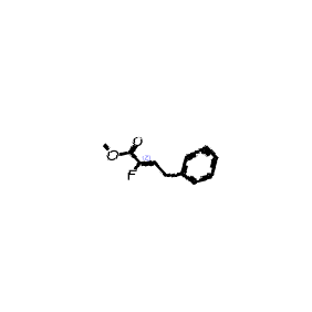 COC(=O)/C(F)=C/Cc1ccccc1